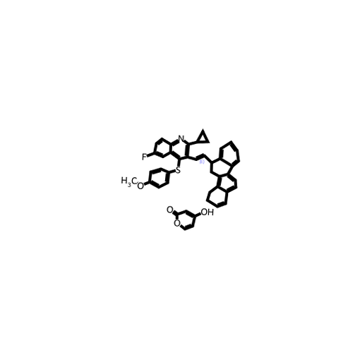 COc1ccc(Sc2c(/C=C/C3Cc4c(ccc5c4CCC=C5)-c4ccccc43)c(C3CC3)nc3ccc(F)cc23)cc1.O=c1cc(O)cco1